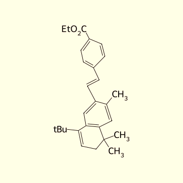 CCOC(=O)c1ccc(C=Cc2cc3c(cc2C)C(C)(C)CC=C3C(C)(C)C)cc1